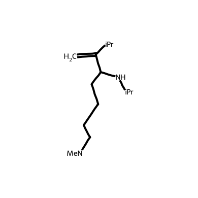 C=C(C(C)C)C(CCCCNC)NC(C)C